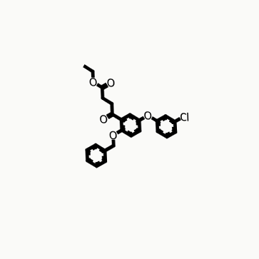 CCOC(=O)CCC(=O)c1cc(Oc2cccc(Cl)c2)ccc1OCc1ccccc1